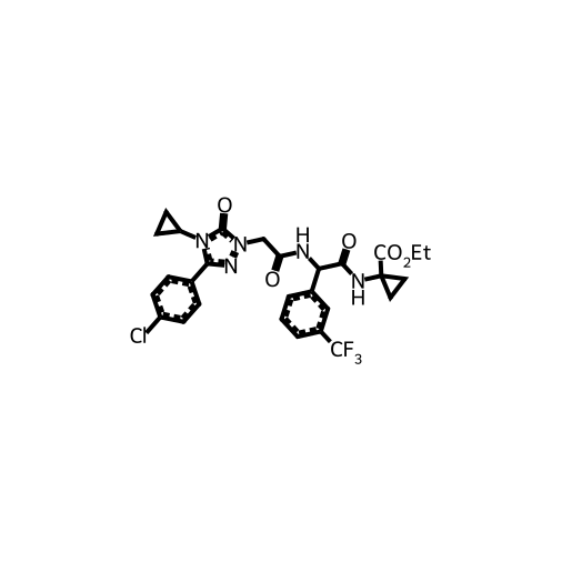 CCOC(=O)C1(NC(=O)C(NC(=O)Cn2nc(-c3ccc(Cl)cc3)n(C3CC3)c2=O)c2cccc(C(F)(F)F)c2)CC1